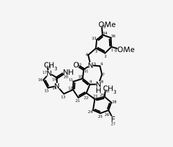 COc1cc(CN2CCNc3c(cc(Cn4ccn(C)c4=N)cc3-c3ccc(F)cc3C)C2=O)cc(OC)c1